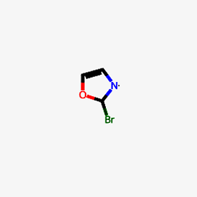 BrC1[N]C=CO1